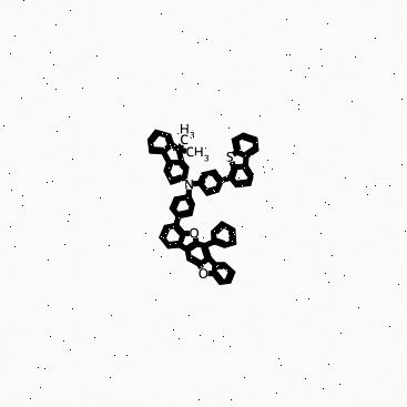 CC1(C)c2ccccc2-c2ccc(N(c3ccc(-c4cccc5c4oc4c(-c6ccccc6)c6c(cc45)oc4ccccc46)cc3)c3ccc(-c4cccc5c4sc4ccccc45)cc3)cc21